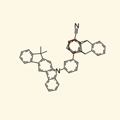 CC1(C)c2ccccc2-c2cc3c4ccccc4n(-c4cccc(-c5ccc(C#N)c6c5C5c7ccccc7C6c6ccccc65)c4)c3cc21